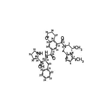 CCCN(Cc1nc(C)cs1)C(=O)c1cc(C(=O)N[C@@H](Cc2ccccc2)[C@H](O)[C@H]2CCCN2)cc2c1CCCO2